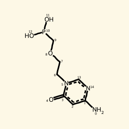 Nc1cc(=O)n(CCOCP(O)O)cn1